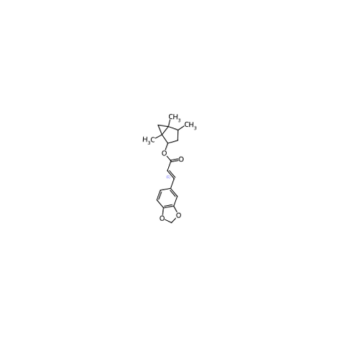 CC1CC(OC(=O)/C=C/c2ccc3c(c2)OCO3)C2(C)CC12C